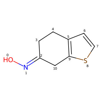 ON=C1CCc2ccsc2C1